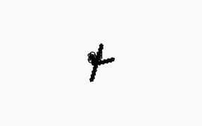 CCCCCCCCCc1ccc(OP(O)(O)=S)c(CCCCCCCCC)c1CCCCCCCCC